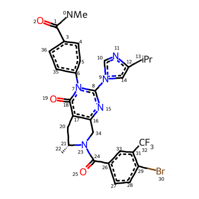 CNC(=O)c1ccc(-n2c(-n3cnc(C(C)C)c3)nc3c(c2=O)C[C@@H](C)N(C(=O)c2ccc(Br)c(C(F)(F)F)c2)C3)cc1